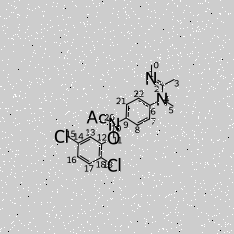 CN=C(C)N(C)c1ccc(N(Oc2cc(Cl)ccc2Cl)C(C)=O)cc1